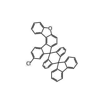 Clc1ccc2c(c1)C1(c3ccccc3C3(c4ccccc4-c4ccccc43)c3ccccc31)c1ccc3oc4ccccc4c3c1-2